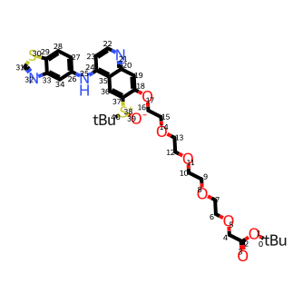 CC(C)(C)OC(=O)COCCOCCOCCOCCOc1cc2nccc(Nc3ccc4scnc4c3)c2cc1[S+]([O-])C(C)(C)C